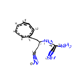 N#CC(NC(=N)N)c1[c]cccc1